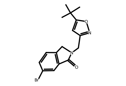 CC(C)(C)c1cc(CN2Cc3ccc(Br)cc3C2=O)no1